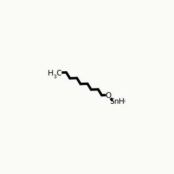 CCCCCCCCC[O][SnH]